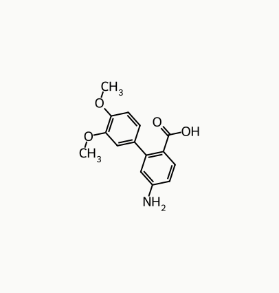 COc1ccc(-c2cc(N)ccc2C(=O)O)cc1OC